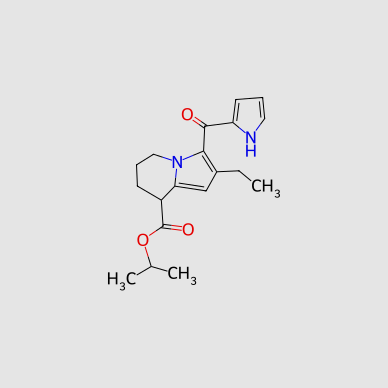 CCc1cc2n(c1C(=O)c1ccc[nH]1)CCCC2C(=O)OC(C)C